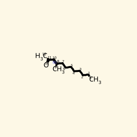 CCCCCCCC/C(C)=C/C(C)=O